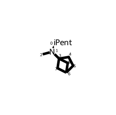 CCC[C@@H](C)N(C)C12CCC(C1)C2